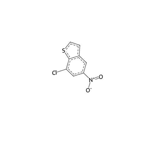 O=[N+]([O-])c1cc(Cl)c2sccc2c1